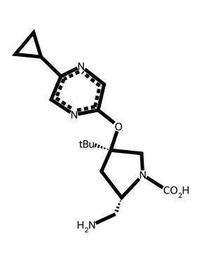 CC(C)(C)[C@@]1(Oc2cnc(C3CC3)cn2)C[C@@H](CN)N(C(=O)O)C1